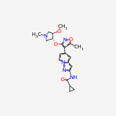 CO[C@@H]1CN(C)C[C@H]1Oc1noc(C)c1-c1ccn2nc(NC(=O)C3CC3)cc2c1